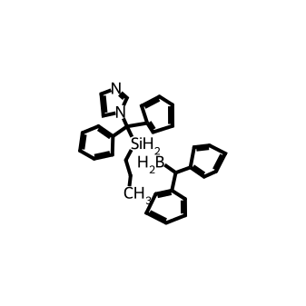 BC(c1ccccc1)c1ccccc1.CCC[SiH2]C(c1ccccc1)(c1ccccc1)n1ccnc1